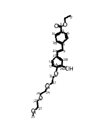 CCOC(=O)c1ccc(/C=C/c2ccc(OCCOCCOCCOC)c(O)c2)cc1